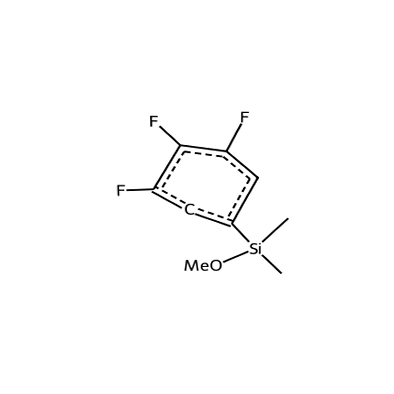 CO[Si](C)(C)c1cc(F)c(F)c(F)c1